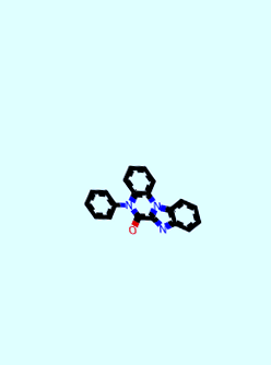 O=c1c2nc3ccccc3n2c2ccccc2n1-c1ccccc1